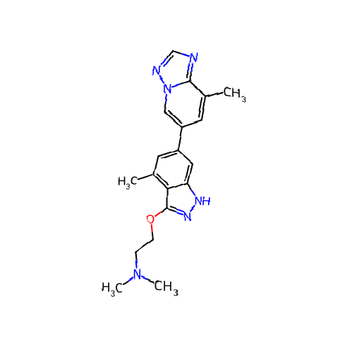 Cc1cc(-c2cc(C)c3ncnn3c2)cc2[nH]nc(OCCN(C)C)c12